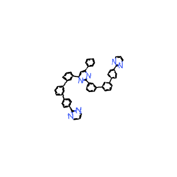 c1ccc(-c2cc(-c3cccc(-c4cccc(-c5ccc(-c6ncccn6)cc5)c4)c3)nc(-c3cccc(-c4cccc(-c5ccc(-c6ncccn6)cc5)c4)c3)n2)cc1